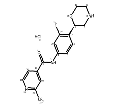 Cl.O=C(Nc1ccc([C@@H]2CNCCO2)c(F)c1)c1ccnc(C(F)(F)F)c1